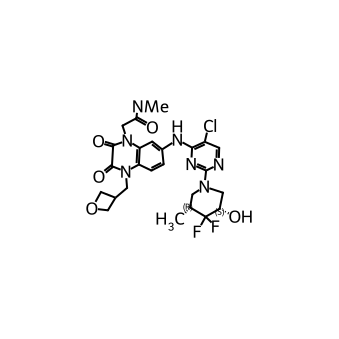 CNC(=O)Cn1c(=O)c(=O)n(CC2COC2)c2ccc(Nc3nc(N4C[C@@H](C)C(F)(F)[C@@H](O)C4)ncc3Cl)cc21